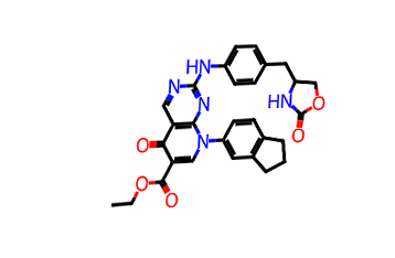 CCOC(=O)c1cn(-c2ccc3c(c2)CCC3)c2nc(Nc3ccc(CC4COC(=O)N4)cc3)ncc2c1=O